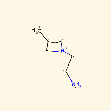 CC1CN(CCN)C1